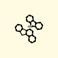 c1ccc2c(c1)Cc1c-2ccc2ccccc12.c1ccc2c(c1)[nH]c1ccccc12